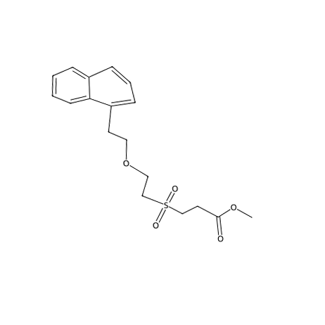 COC(=O)CCS(=O)(=O)CCOCCc1cccc2ccccc12